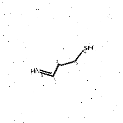 N=CCCS